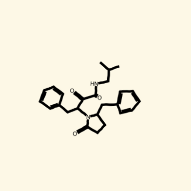 CC(C)CNC(=O)C(=O)C(Cc1ccccc1)N1C(=O)CCC1Cc1ccccc1